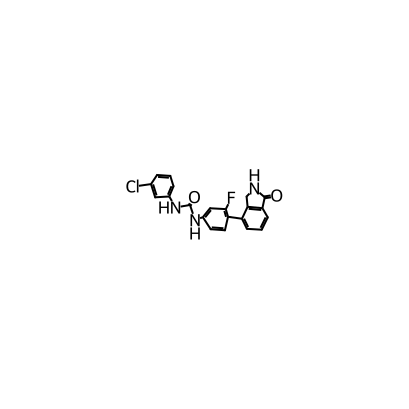 O=C(Nc1cccc(Cl)c1)Nc1ccc(-c2cccc3c2CNC3=O)c(F)c1